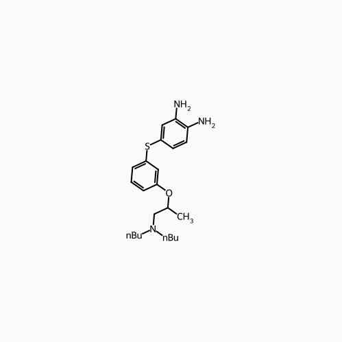 CCCCN(CCCC)CC(C)Oc1cccc(Sc2ccc(N)c(N)c2)c1